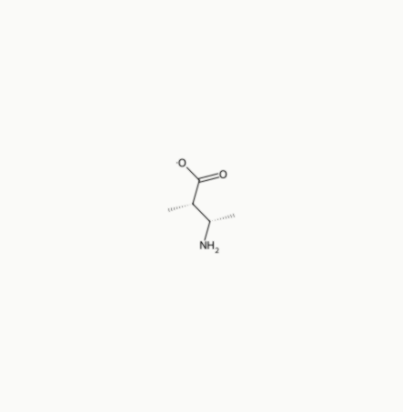 C[C@H](N)[C@H](C)C([O])=O